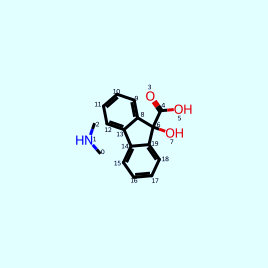 CNC.O=C(O)C1(O)c2ccccc2-c2ccccc21